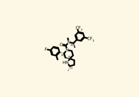 Cc1cc(F)ccc1[C@H]1C[C@]2(CC[C@H](C)N2)CCN1C(=O)N(C)[C@H](C)c1cc(C(F)(F)F)cc(C(F)(F)F)c1